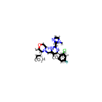 CCOC(=O)C1=C(CN2CCO[C@H](C)[C@H]2CCC(=O)O)NC(c2nccn2C)=N[C@H]1c1ccc(F)cc1Cl